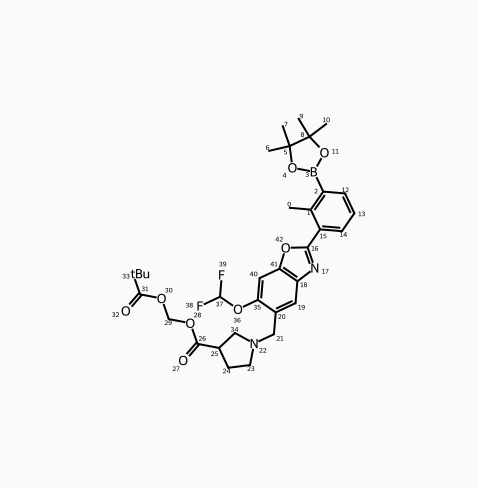 Cc1c(B2OC(C)(C)C(C)(C)O2)cccc1-c1nc2cc(CN3CCC(C(=O)OCOC(=O)C(C)(C)C)C3)c(OC(F)F)cc2o1